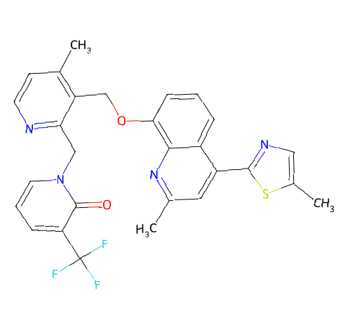 Cc1cc(-c2ncc(C)s2)c2cccc(OCc3c(C)ccnc3Cn3cccc(C(F)(F)F)c3=O)c2n1